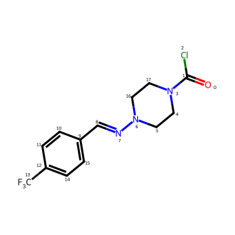 O=C(Cl)N1CCN(N=Cc2ccc(C(F)(F)F)cc2)CC1